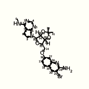 CNc1ncnc2c1ccn2[C@@H]1O[C@H](COc2ccc3cc(Br)c(N)nc3c2)[C@H]2OC(C)(C)O[C@H]21